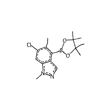 Cc1c(Cl)cc2c(cnn2C)c1B1OC(C)(C)C(C)(C)O1